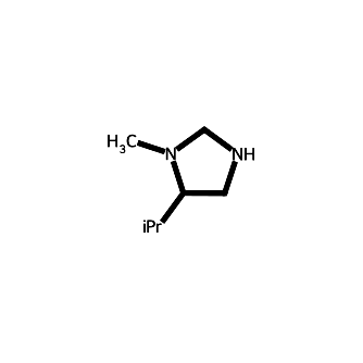 CC(C)C1CNCN1C